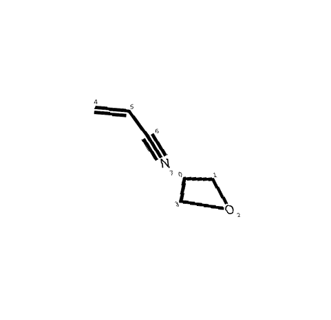 C1COC1.C=CC#N